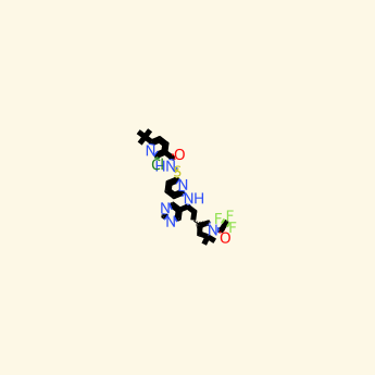 CC(C)(C)c1ccc(C(=O)NSc2cccc(NC(CC[C@@H]3CN(C(=O)C(F)(F)F)C(C)(C)C3)c3cncnc3)n2)c(Cl)n1